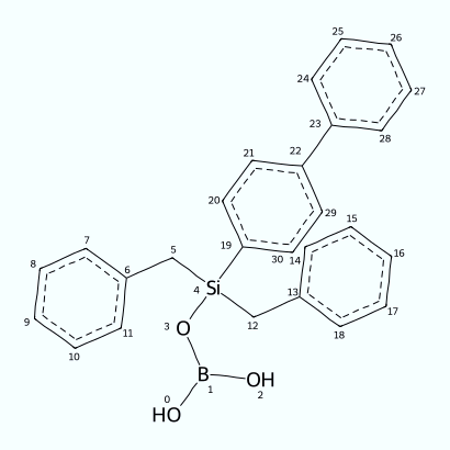 OB(O)O[Si](Cc1ccccc1)(Cc1ccccc1)c1ccc(-c2ccccc2)cc1